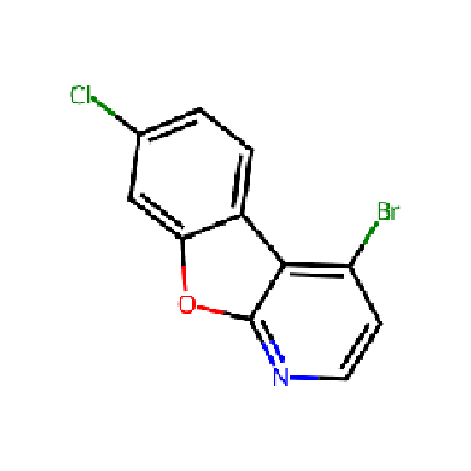 Clc1ccc2c(c1)oc1nccc(Br)c12